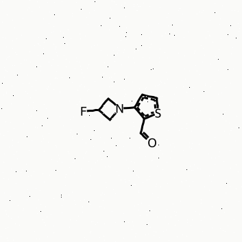 O=Cc1sccc1N1CC(F)C1